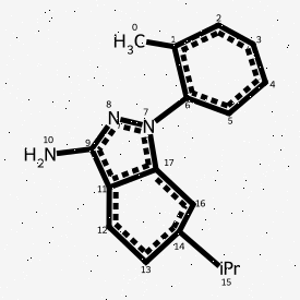 Cc1ccccc1-n1nc(N)c2ccc(C(C)C)cc21